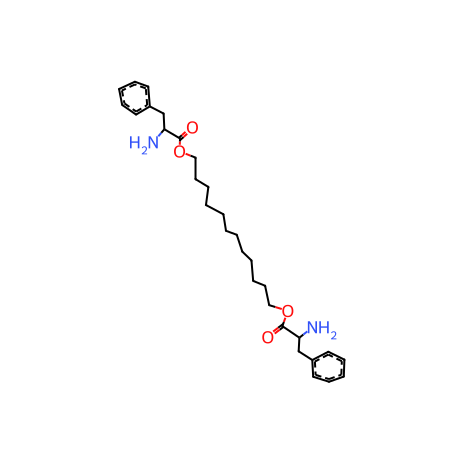 NC(Cc1ccccc1)C(=O)OCCCCCCCCCCCCOC(=O)C(N)Cc1ccccc1